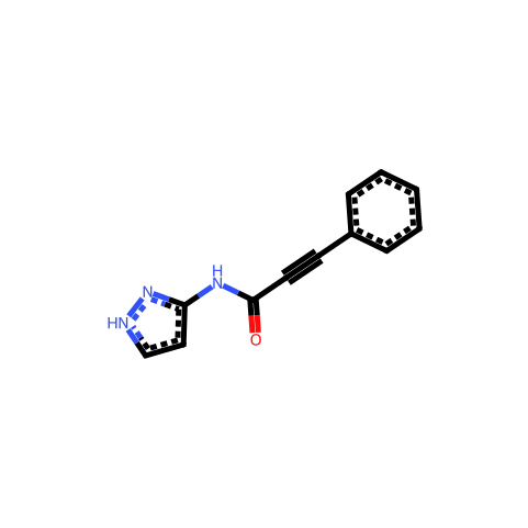 O=C(C#Cc1ccccc1)Nc1cc[nH]n1